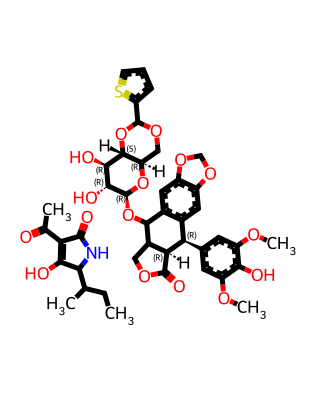 CCC(C)C1NC(=O)C(C(C)=O)=C1O.COc1cc([C@@H]2c3cc4c(cc3C(O[C@@H]3O[C@@H]5COC(c6cccs6)O[C@H]5[C@H](O)[C@H]3O)C3COC(=O)[C@@H]32)OCO4)cc(OC)c1O